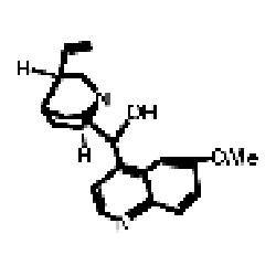 C=C[C@@H]1CN2CCC1C[C@@H]2C(O)c1ccnc2ccc(OC)cc12